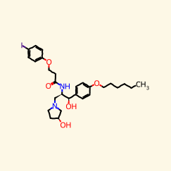 CCCCCCOc1ccc([C@@H](O)[C@@H](CN2CC[C@H](O)C2)NC(=O)CCOc2ccc(I)cc2)cc1